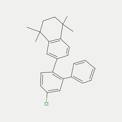 CC1(C)CCC(C)(C)c2cc(-c3ccc(Cl)cc3-c3ccccc3)ccc21